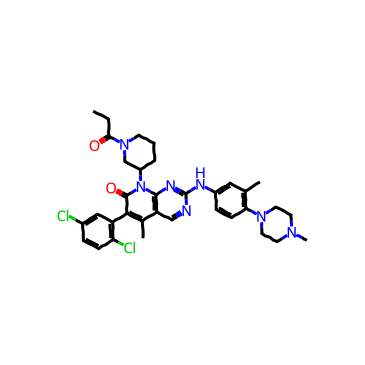 CCC(=O)N1CCCC(n2c(=O)c(-c3cc(Cl)ccc3Cl)c(C)c3cnc(Nc4ccc(N5CCN(C)CC5)c(C)c4)nc32)C1